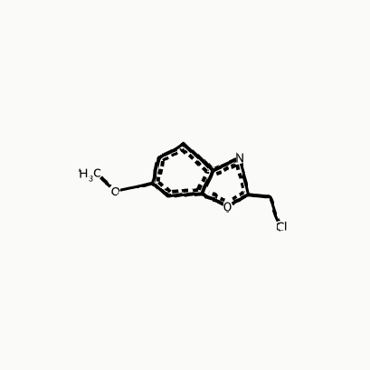 COc1ccc2nc(CCl)oc2c1